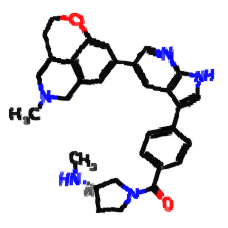 CN[C@H]1CCN(C(=O)c2ccc(-c3c[nH]c4ncc(-c5cc6c7c(c5)OCCC7CN(C)C6)cc34)cc2)C1